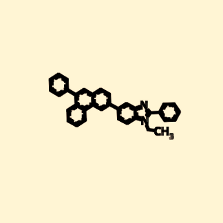 CCn1c(-c2ccccc2)nc2cc(-c3ccc4cc(-c5ccccc5)c5ccccc5c4c3)ccc21